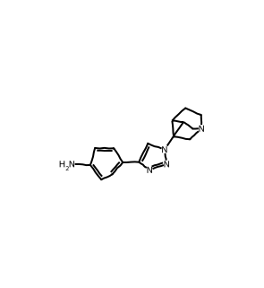 Nc1ccc(-c2cn(C3CN4CCC3CC4)nn2)cc1